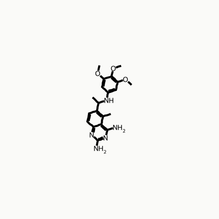 COc1cc(NC(C)c2ccc3nc(N)nc(N)c3c2C)cc(OC)c1OC